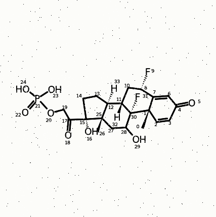 C[C@]12C=CC(=O)C=C1[C@@H](F)C[C@H]1[C@@H]3CC[C@](O)(C(=O)COP(=O)(O)O)[C@@]3(C)CC(O)[C@@]12F